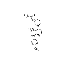 Cc1ccc(Nc2nccc(N3CCC[C@@H](OC(N)=O)C3)c2[N+](=O)[O-])cc1